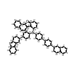 c1ccc2cc(-c3ccc(-c4ccc(N(c5ccc(-c6ccc7sc8ccccc8c7c6)cc5)c5cccc6oc7c8ccccc8ccc7c56)cc4)cc3)ccc2c1